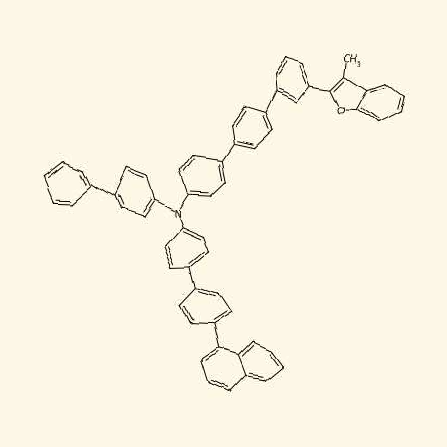 Cc1c(-c2cccc(-c3ccc(-c4ccc(N(c5ccc(-c6ccccc6)cc5)c5ccc(-c6ccc(-c7cccc8ccccc78)cc6)cc5)cc4)cc3)c2)oc2ccccc12